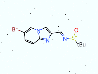 CC(C)(C)[S+]([O-])N=Cc1cn2cc(Br)ccc2n1